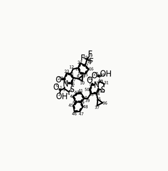 O=C(O)C1CSc2c(C3CC3)c(Cc3cccc(C(F)(F)F)c3)cc(=O)n21.O=C(O)[C@@H]1CSc2c(C3CC3)c(Cc3cccc4ccccc34)cc(=O)n21